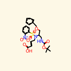 CC(C)(C)OC(=O)NCC(COCc1ccccc1)N(C/C=C/C(=O)O)S(=O)(=O)c1ccccc1[N+](=O)[O-]